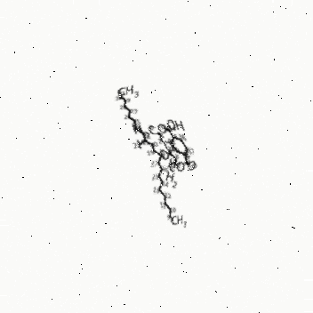 C=CCOC(=O)C=C.CCCCCCCCCCCCCC(I)CCCCCCCCC.O=C(O)C1CCC(C(=O)O)CC1